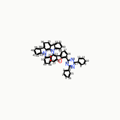 c1ccc(-c2nc(-c3ccccc3)nc(-c3cccc4c3oc3cccc(-n5c6ccccc6c6ccc7c8ccccc8n(-c8ccccc8)c7c65)c34)n2)cc1